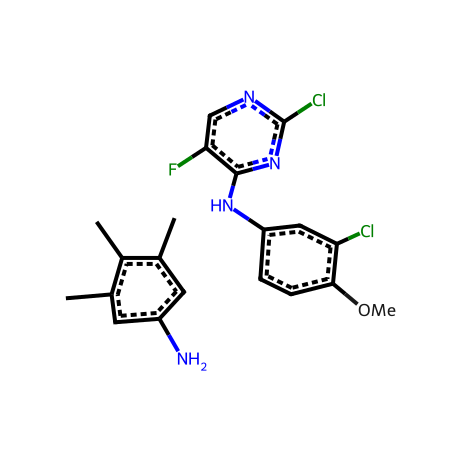 COc1ccc(Nc2nc(Cl)ncc2F)cc1Cl.Cc1cc(N)cc(C)c1C